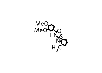 COc1ccc(C(=O)Nc2nc3c(C)cccc3s2)cc1OC